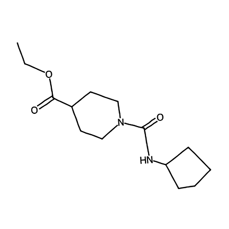 CCOC(=O)C1CCN(C(=O)NC2CCCC2)CC1